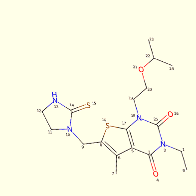 CCn1c(=O)c2c(C)c(CN3CCNC3=S)sc2n(CCOC(C)C)c1=O